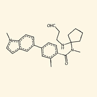 Cc1cc(-c2ccc3c(ccn3C)c2)ccc1C(=O)N(C)C1(NCCC=O)CCCC1